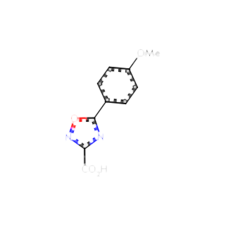 COc1ccc(-c2nc(C(=O)O)no2)cc1